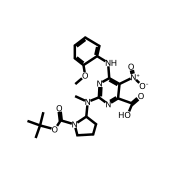 COc1ccccc1Nc1nc(N(C)C2CCCN2C(=O)OC(C)(C)C)nc(C(=O)O)c1[N+](=O)[O-]